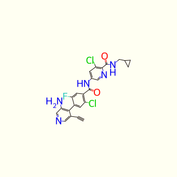 C#Cc1cncc(N)c1-c1cc(Cl)c(C(=O)Nc2cnc(C(=O)NCC3CC3)c(Cl)c2)cc1F